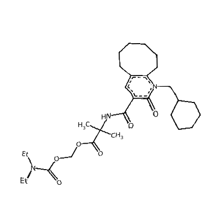 CCN(CC)C(=O)OCOC(=O)C(C)(C)NC(=O)c1cc2c(n(CC3CCCCC3)c1=O)CCCCCC2